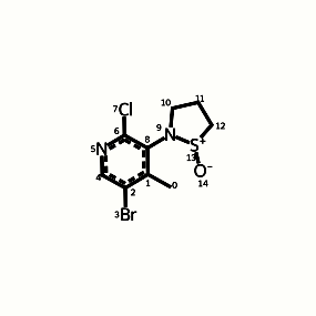 Cc1c(Br)cnc(Cl)c1N1CCC[S+]1[O-]